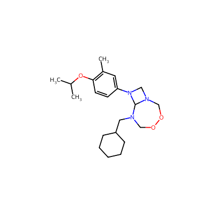 Cc1cc(N2CN3COOCN(CC4CCCCC4)C32)ccc1OC(C)C